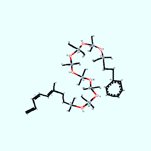 C=C/C=C\C=C(/C)CC[Si](C)(C)O[Si](C)(C)O[Si](C)(C)O[Si](C)(C)O[Si](C)(C)O[Si](C)(C)O[Si](C)(C)O[Si](C)(C)CCc1ccccc1